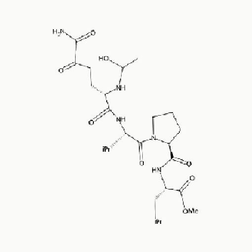 COC(=O)[C@H](CC(C)C)NC(=O)[C@@H]1CCCN1C(=O)[C@@H](NC(=O)[C@H](CCC(=O)C(N)=O)NC(C)O)C(C)C